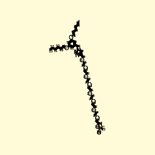 CCCCCCOc1cc(Cn2cc(COCCOCCOCCOCCOCCOCCOCCOCCO[PH](=O)F)nn2)cc(OCCCCCC)c1